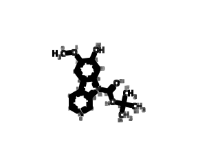 COc1cc2c3ccncc3n(C(=O)OC(C)(C)C)c2cc1O